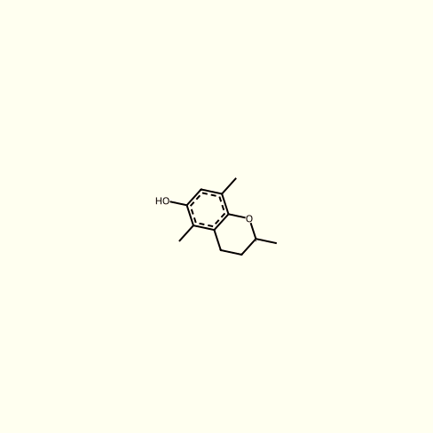 C[C]1CCc2c(C)c(O)cc(C)c2O1